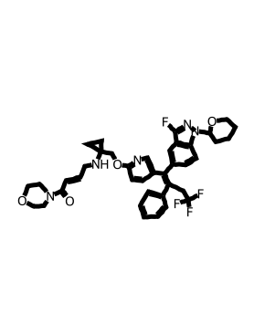 O=C(/C=C/CNC1(COc2ccc(/C(=C(/CC(F)(F)F)c3ccccc3)c3ccc4c(c3)c(F)nn4C3CCCCO3)cn2)CC1)N1CCOCC1